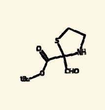 CC(C)(C)OC(=O)C1(C=O)NCCS1